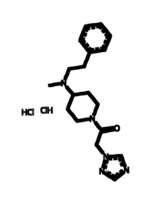 CN(CCc1ccccc1)C1CCN(C(=O)Cn2cncn2)CC1.Cl.Cl